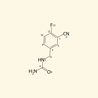 N#Cc1cc(CNC(N)=O)ccc1F